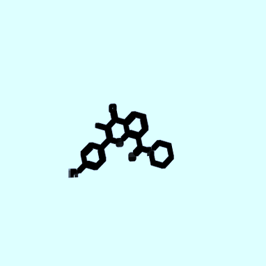 Cc1c(-c2ccc(C(C)C)cc2)oc2c(C(=O)N3CCCCC3)cccc2c1=O